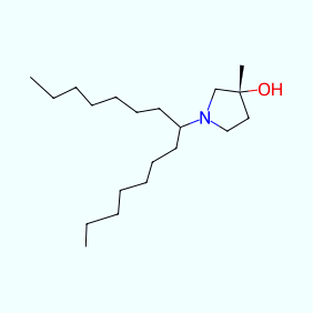 CCCCCCCC(CCCCCCC)N1CC[C@@](C)(O)C1